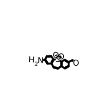 Nc1ccc2c(c1)C=Cc1ccc(C=O)cc1S2(=O)=O